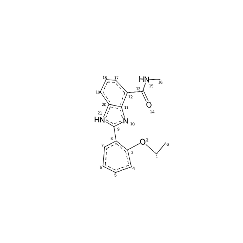 CCOc1ccccc1-c1nc2c(C(=O)NC)cccc2[nH]1